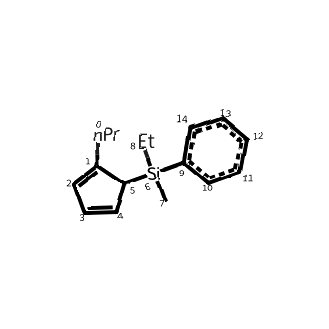 CCCC1=CC=C[C]1[Si](C)(CC)c1ccccc1